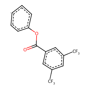 O=C(Oc1cc[c]cc1)c1cc(C(F)(F)F)cc(C(F)(F)F)c1